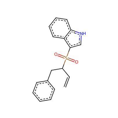 C=CC(Cc1ccccc1)S(=O)(=O)c1c[nH]c2ccccc12